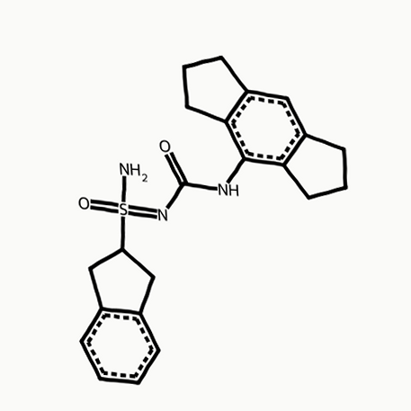 NS(=O)(=NC(=O)Nc1c2c(cc3c1CCC3)CCC2)C1Cc2ccccc2C1